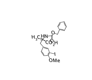 COc1ccc(C[C@](C)(NC(=O)OCc2ccccc2)C(=O)O)cc1I